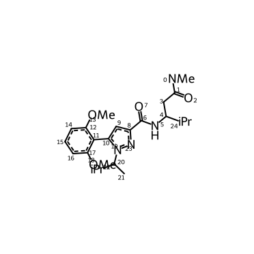 CNC(=O)CC(NC(=O)c1cc(-c2c(OC)cccc2OC)n(C(C)C(C)C)n1)C(C)C